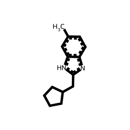 Cc1ccc2nc(CC3CCCC3)[nH]c2c1